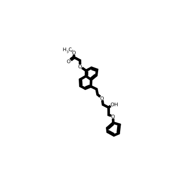 COC(=O)COc1cccc2c(CCOCC(O)COc3ccccc3)cccc12